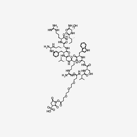 CC[C@@H](C)[C@H](NC(=O)[C@H](CCCNC(=N)N)NC(=O)[C@@H](CCCNC(N)N)NC(=O)[C@H](Cc1ccccc1)NC(=O)[C@@H](CC(C)C)NC(=O)[C@H](CCCNC(=N)N)NC(=O)[C@@H](Cc1c[nH]c2ccccc12)NC(=O)CNC(=O)[C@@H](CO)NC(=O)[C@@H](NC(=O)CCOCCOCCOCCC(=O)ON1C(=O)CC(S(=O)(=O)O)C1=O)C(C)C)C(=O)N[C@@H](CO)C(N)=O